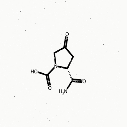 NC(=O)[C@H]1CC(=O)CN1C(=O)O